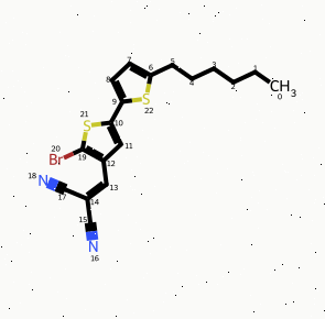 CCCCCCc1ccc(-c2cc(C=C(C#N)C#N)c(Br)s2)s1